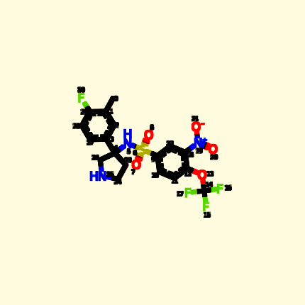 Cc1cc(C2(NS(=O)(=O)c3ccc(OC(F)(F)F)c([N+](=O)[O-])c3)CCNC2)ccc1F